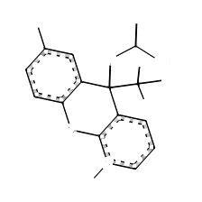 CC(C)OC1(C(F)(F)F)c2cc(F)ccc2Nc2c1ccc[n+]2[O-]